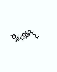 Cc1ccc(S(=O)(=O)O[C@H]2CC[C@@]3(C)C(=CC[C@@H]4[C@@H]3CC[C@]3(C)C([C@H](C)CCCC(C)C)CC[C@@H]43)C2)cc1